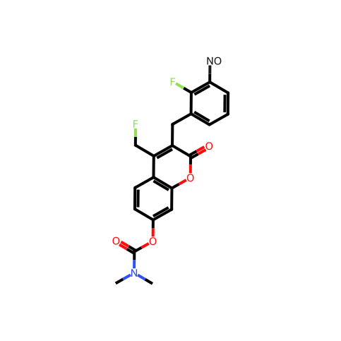 CN(C)C(=O)Oc1ccc2c(CF)c(Cc3cccc(N=O)c3F)c(=O)oc2c1